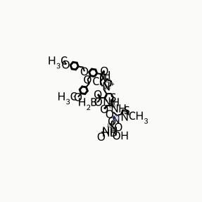 BOC(=O)C1=C(C[N@@+]23CC[C@@H](C2)N(C(=O)c2ccc(OCc4ccc(OC)cc4)c(OCc4ccc(OC)cc4)c2Cl)CC3)CS[C@@H]2[C@H](NC(=O)/C(=N\O[C@@H](CNC=O)C(=O)BO)c3csc(C)n3)C(=O)N12